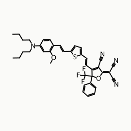 CCCCN(CCCC)c1ccc(C=Cc2ccc(C=CC3=C(C#N)C(=C(C#N)C#N)OC3(c3ccccc3)C(F)(F)F)s2)c(OC)c1